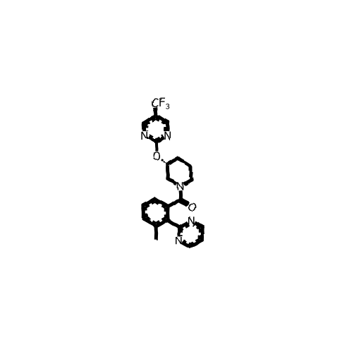 Cc1cccc(C(=O)N2CCC[C@@H](Oc3ncc(C(F)(F)F)cn3)C2)c1-c1ncccn1